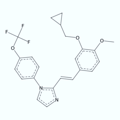 COc1ccc(C=Cc2nccn2-c2ccc(OC(F)(F)F)cc2)cc1OCC1CC1